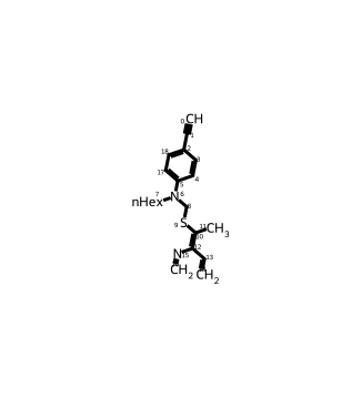 C#Cc1ccc(N(CCCCCC)CS/C(C)=C(/C=C)N=C)cc1